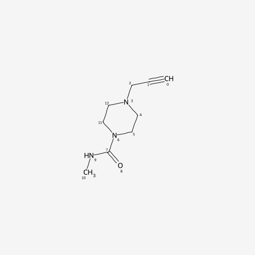 C#CCN1CCN(C(=O)NC)CC1